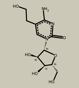 Nc1nc(=O)n([C@@H]2O[C@H](CO)[C@@H](O)[C@H]2O)cc1CCO